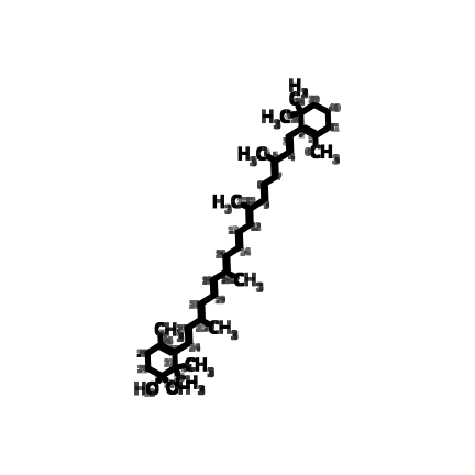 CC1=C(/C=C/C(C)=C/C=C/C(C)=C/C=C/C=C(C)/C=C/C=C(C)/C=C/C2=C(C)CCC(O)(O)C2(C)C)C(C)(C)CCC1